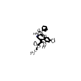 C=CCOC(=O)c1[nH]c2cc(Cl)cc(Cl)c2c1/C=C1/NC(=O)N(c2ccccc2)C1=O